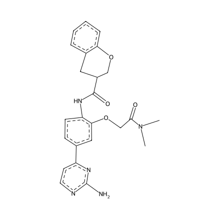 CN(C)C(=O)COc1cc(-c2ccnc(N)n2)ccc1NC(=O)C1COc2ccccc2C1